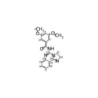 COc1cc(OC)cc(C(=O)NC2=Nc3ccccc3C3=NCCN23)c1